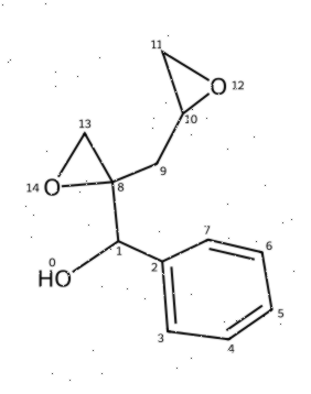 OC(c1ccccc1)C1(CC2CO2)CO1